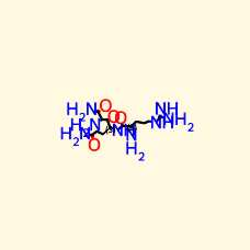 N=C(N)NCCC[C@H](N)C(=O)N[C@@H](CCC(N)=O)C(=O)C(N)C(N)=O